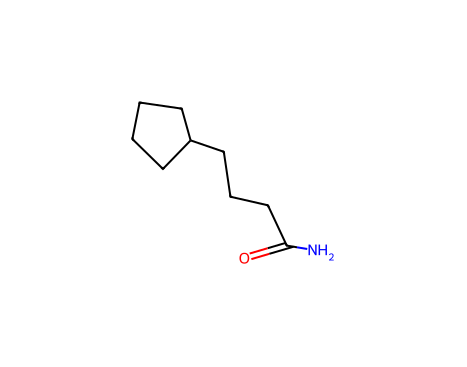 NC(=O)CCCC1CCCC1